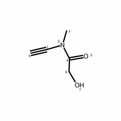 C#CN(C)C(=O)CO